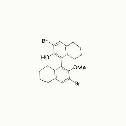 COc1c(Br)cc2c(c1-c1c(O)c(Br)cc3c1CCCC3)CCCC2